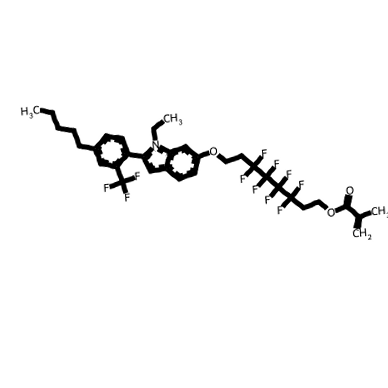 C=C(C)C(=O)OCCC(F)(F)C(F)(F)C(F)(F)C(F)(F)CCOc1ccc2cc(-c3ccc(CCCCC)cc3C(F)(F)F)n(CC)c2c1